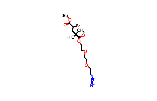 CC(C)(C)OC(=O)C(Br)CC(C)(C)C(=O)OCCOCCOCCN=[N+]=[N-]